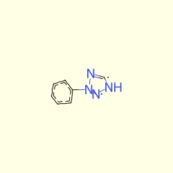 [C]1=NN(c2ccccc2)[N]N1